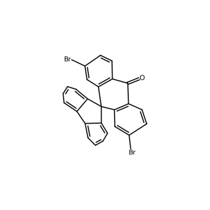 O=C1c2ccc(Br)cc2C2(c3cc(Br)ccc31)c1ccccc1-c1ccccc12